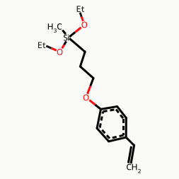 C=Cc1ccc(OCCC[Si](C)(OCC)OCC)cc1